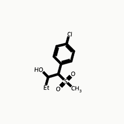 CCC(O)C(c1ccc(Cl)cc1)S(C)(=O)=O